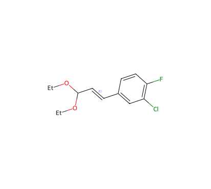 CCOC(/C=C/c1ccc(F)c(Cl)c1)OCC